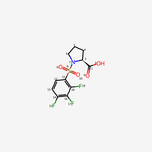 O=C(O)[C@@H]1CCCN1S(=O)(=O)c1ccc(F)c(F)c1F